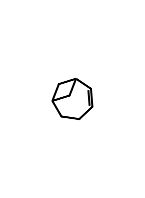 C1=CC2CC(CC1)C2